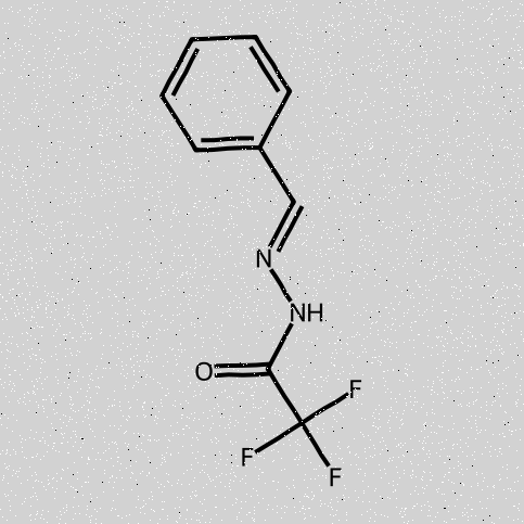 O=C(NN=Cc1ccccc1)C(F)(F)F